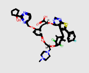 Cc1c(Cl)c2c(Cl)c(C)c1-c1c(-c3ccc(F)cc3)sc3ncnc(c13)O[C@@H](C(=O)O)Cc1cc(ccc1OCc1ccnc(C3(O)CCCC3)n1)OC[C@@H](CN1CCN(C)CC1)O2